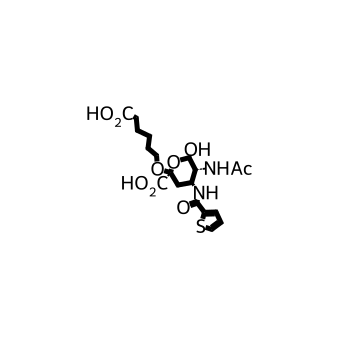 CC(=O)N[C@@H]1[C@@H](NC(=O)c2cccs2)C[C@](OCCCCCC(=O)O)(C(=O)O)O[C@H]1O